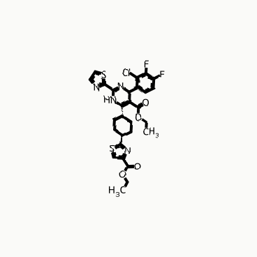 CCOC(=O)C1=C([C@H]2CC[C@H](c3nc(C(=O)OCC)cs3)CC2)NC(c2nccs2)=NC1c1ccc(F)c(F)c1Cl